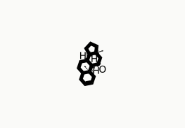 C[C@@]12CCC[C@H]1[C@@H]1CCC3CC=CC[C@]3(C)[C@H]1C(=O)C2